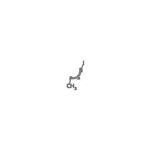 CP=S=BI